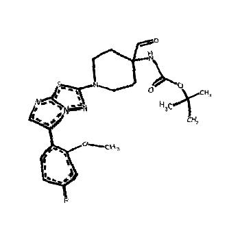 COc1cc(F)ccc1-c1cnc2sc(N3CCC(C=O)(NC(=O)OC(C)(C)C)CC3)nn12